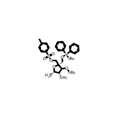 B[C@@H]1O[C@@](CO[Si](c2ccccc2)(c2ccccc2)C(C)(C)C)(COS(=O)(=O)c2ccc(C)cc2)C(OCCCC)[C@@H]1OC(C)=O